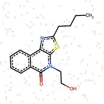 CCCCc1nc2c3ccccc3c(=O)n(CCO)c2s1